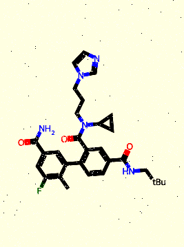 Cc1c(F)cc(C(N)=O)cc1-c1ccc(C(=O)NCC(C)(C)C)cc1C(=O)N(CCCn1ccnc1)C1CC1